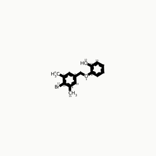 Cc1cc(COc2ccccc2O)cc(C)c1Br